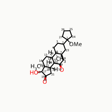 COC1(C2CC[C@@]3(C)C(=CC(=O)[C@@H]4[C@H]3CC[C@]3(C)C(O)C(=O)C[C@@H]43)C2)CCCC1